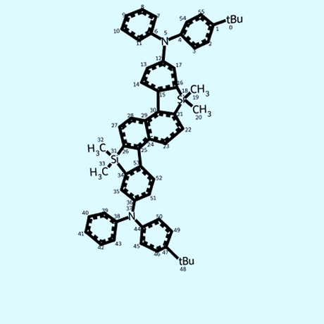 CC(C)(C)c1ccc(N(c2ccccc2)c2ccc3c(c2)[Si](C)(C)c2ccc4c5c(ccc4c2-3)[Si](C)(C)c2cc(N(c3ccccc3)c3ccc(C(C)(C)C)cc3)ccc2-5)cc1